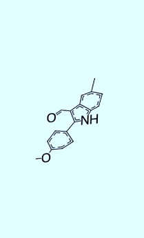 COc1ccc(-c2[nH]c3ccc(C)cc3c2C=O)cc1